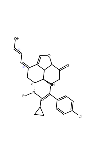 CCN(CC1CC1)[C@@H]1C/C(=C/C=C/O)C2=COC3C(=O)CCC1(NC(=O)c1ccc(Cl)cc1)C23